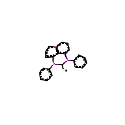 [Ru][CH](P(c1ccccc1)c1ccccc1)P(c1ccccc1)c1ccccc1